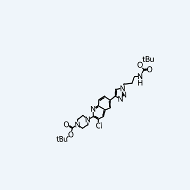 CC(C)(C)OC(=O)NCCCn1cc(-c2ccc3nc(N4CCN(C(=O)OC(C)(C)C)CC4)c(Cl)cc3c2)nn1